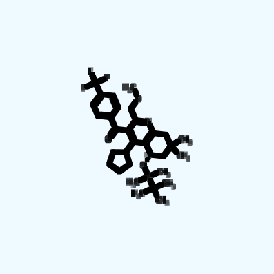 COCc1nc2c(c(C3CCCC3)c1C(=O)c1ccc(C(F)(F)F)cc1)[C@@H](O[Si](C)(C)C(C)(C)C)CC(C)(C)C2